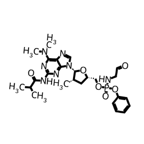 CC(C)C(=O)Nc1nc(N(C)C)c2ncn([C@@H]3O[C@H](COP(=O)(NCC=O)Oc4ccccc4)C[C@@H]3C)c2n1